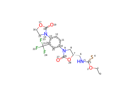 CCOC(=S)NC[C@H]1CN(c2ccc(N3CCOC3=O)c(C(F)(F)F)c2)C(=O)O1